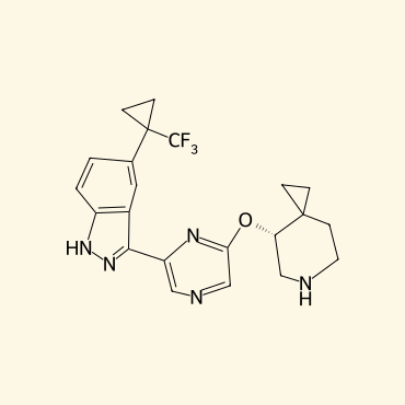 FC(F)(F)C1(c2ccc3[nH]nc(-c4cncc(O[C@H]5CNCCC56CC6)n4)c3c2)CC1